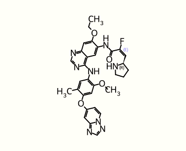 CCOc1cc2ncnc(Nc3cc(C)c(Oc4ccn5ncnc5c4)cc3OC)c2cc1NC(=O)/C(F)=C\[C@H]1CCCN1